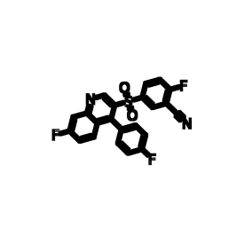 N#Cc1cc(S(=O)(=O)c2cnc3cc(F)ccc3c2-c2ccc(F)cc2)ccc1F